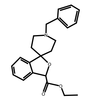 CCOC(=O)C1OC2(CCN(Cc3ccccc3)CC2)c2ccccc21